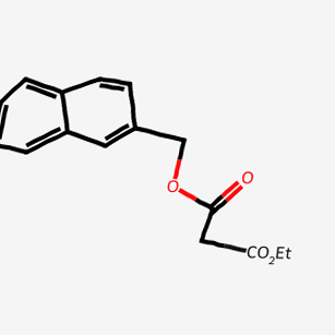 CCOC(=O)CC(=O)OCc1ccc2ccccc2c1